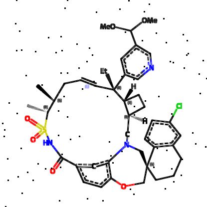 CC[C@]1(c2cncc(C(OC)OC)c2)/C=C/C[C@H](C)[C@@H](C)S(=O)(=O)NC(=O)c2ccc3c(c2)N(C[C@@H]2CC[C@H]21)C[C@@]1(CCCc2cc(Cl)ccc21)CO3